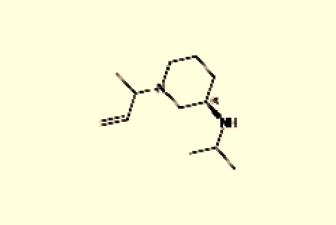 C=CC(C)N1CCC[C@@H](NC(C)C)C1